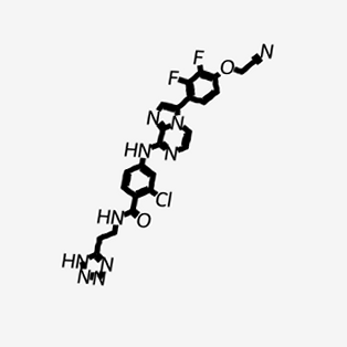 N#CCOc1ccc(-c2cnc3c(Nc4ccc(C(=O)NCCc5nnn[nH]5)c(Cl)c4)nccn23)c(F)c1F